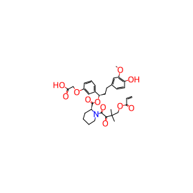 C=CC(=O)OCC(C)(C)C(=O)C(=O)N1CCCC[C@H]1C(=O)O[C@H](CCc1ccc(O)c(OC)c1)c1cccc(OCC(=O)O)c1